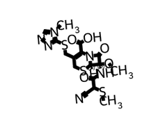 CO[C@@]1(NC(=O)C(C#N)SC)C(=O)N2C(C(=O)O)=C(CSc3nncn3C)CS[C@H]21